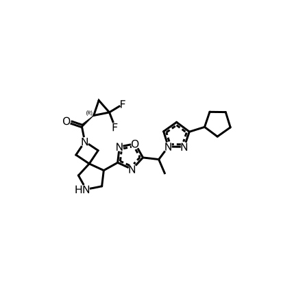 CC(c1nc(C2CNCC23CN(C(=O)[C@H]2CC2(F)F)C3)no1)n1ccc(C2CCCC2)n1